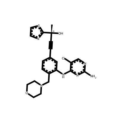 C[C@@](O)(C#Cc1ccc(CN2CCOCC2)c(Nc2nc(N)ncc2Cl)c1)c1nccs1